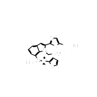 CCOC(=O)c1cnc(-c2cc3cccc(N(C)S(=O)(=O)c4cccs4)c3n2COC)s1